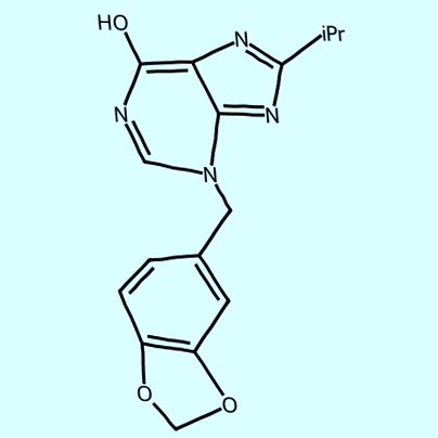 CC(C)c1nc2c(O)ncn(Cc3ccc4c(c3)OCO4)c-2n1